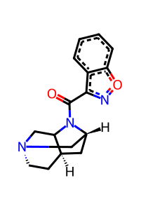 O=C(c1noc2ccccc12)N1C2C[N@@]3CC[C@@H]2C[C@@H]1C3